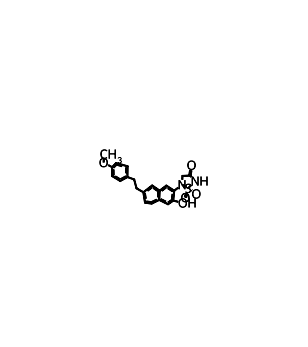 COc1ccc(CCc2ccc3cc(O)c(N4CC(=O)NS4(=O)=O)cc3c2)cc1